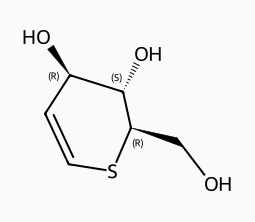 OC[C@H]1SC=C[C@@H](O)[C@@H]1O